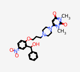 Cn1c(N2CCN(CCCOc3ccc([N+](=O)[O-])cc3C(O)c3ccccc3)CC2)cc(=O)n(C)c1=O